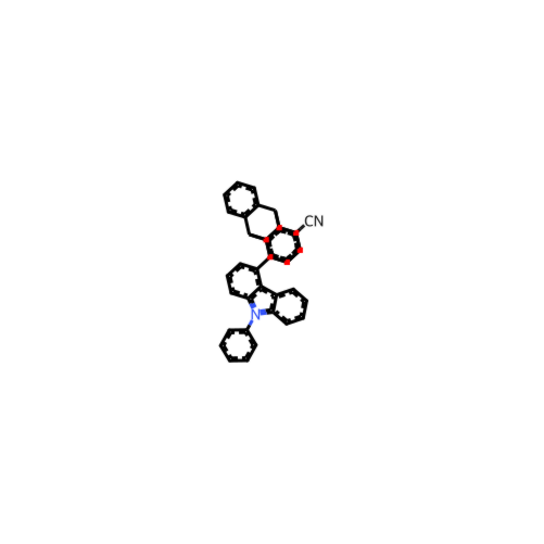 N#Cc1ccc(-c2cccc3c2c2ccccc2n3-c2ccccc2)c2c1C1c3ccccc3C2c2ccccc21